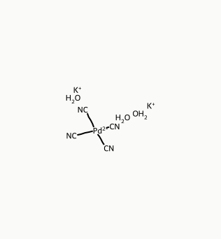 N#[C][Pd-2]([C]#N)([C]#N)[C]#N.O.O.O.[K+].[K+]